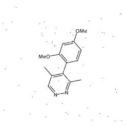 COc1ccc(-c2c(C)cnnc2C)c(OC)c1